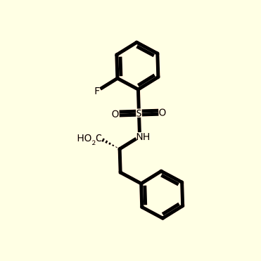 O=C(O)[C@@H](Cc1ccccc1)NS(=O)(=O)c1ccccc1F